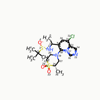 CC(N[S+]([O-])C(C)(C)C)c1cc(Cl)c2cncn2c1N1CCS(=O)(=O)[C@@H](C)C1